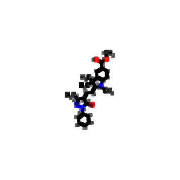 COC(=O)c1ccc2c(c1)C(C)(C)/C(=C\C=C1/C(=O)N(c3ccccc3)N=C1C)N2C